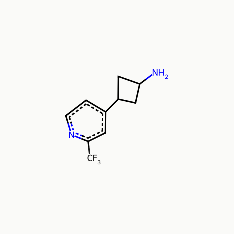 NC1CC(c2ccnc(C(F)(F)F)c2)C1